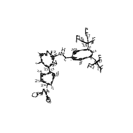 Cc1cnc(NCc2cc(C(F)(F)F)cc(C(F)(F)F)c2)nc1-c1ccc([N+](=O)[O-])cc1